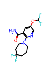 NC(=O)c1cc(OC(F)F)cnc1N1CCCC(F)(F)CC1